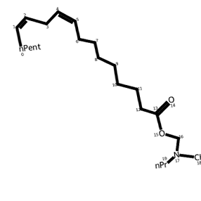 CCCCC/C=C\C/C=C\CCCCCCCC(=O)OCN(C=O)CCC